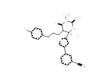 CN1C(=N)N[C@](C)(c2cc(-c3cccc(C#N)c3)cs2)C(CCCc2ccc(F)cc2)C1=O